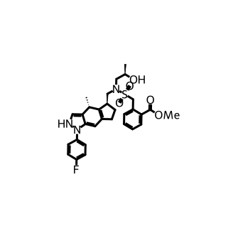 COC(=O)c1ccccc1CS(=O)(=O)N(C[C@H]1CCC2=C1[C@@H](C)C1=CNN(c3ccc(F)cc3)C1=C2)C[C@@H](C)O